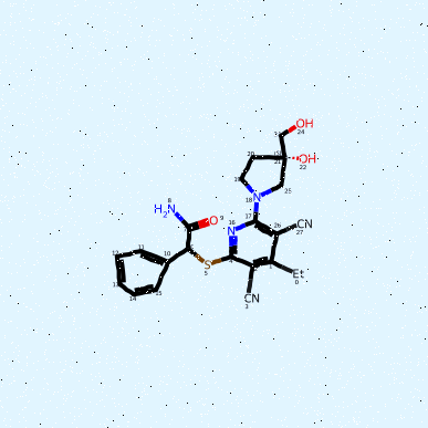 CCc1c(C#N)c(SC(C(N)=O)c2ccccc2)nc(N2CC[C@@](O)(CO)C2)c1C#N